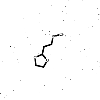 CSCCC1OCCO1